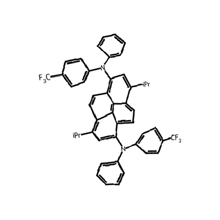 CC(C)c1cc(N(c2ccccc2)c2ccc(C(F)(F)F)cc2)c2ccc3c(C(C)C)cc(N(c4ccccc4)c4ccc(C(F)(F)F)cc4)c4ccc1c2c34